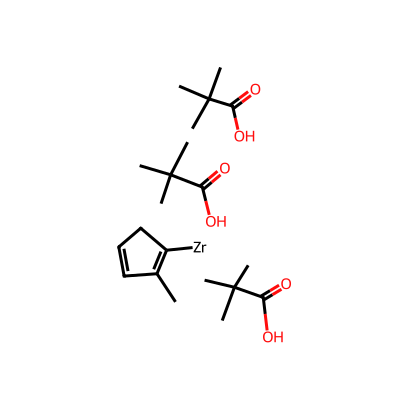 CC(C)(C)C(=O)O.CC(C)(C)C(=O)O.CC(C)(C)C(=O)O.CC1=[C]([Zr])CC=C1